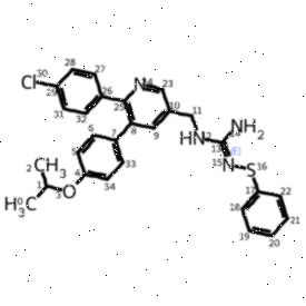 CC(C)Oc1ccc(-c2cc(CN/C(N)=N/Sc3ccccc3)cnc2-c2ccc(Cl)cc2)cc1